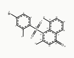 Cc1cc(Br)ccc1S(=O)(=O)n1c(C)cc(=O)c2cccc(C)c21